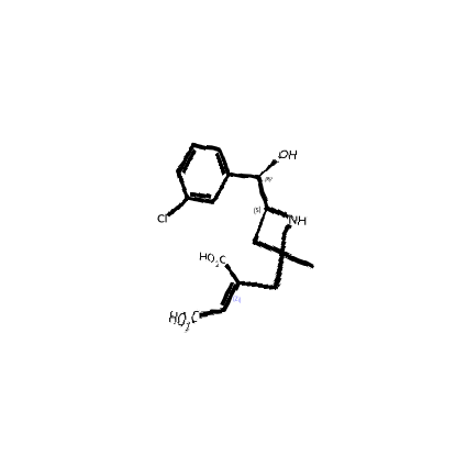 CC1(C/C(=C/C(=O)O)C(=O)O)C[C@@H]([C@H](O)c2cccc(Cl)c2)N1